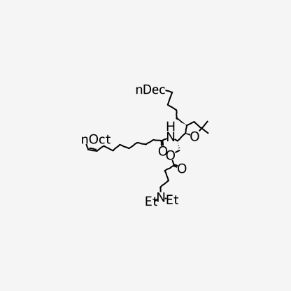 CCCCCCCC/C=C\CCCCCCCC(=O)N[C@@H](COC(=O)CCCN(CC)CC)[C@@H]1OC(C)(C)C[C@@H]1CCCCCCCCCCCCCC